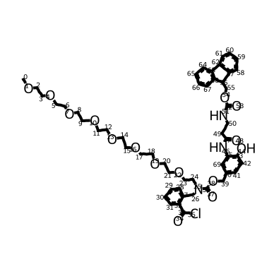 COCCOCCOCCOCCOCCOCCOCCOCCN(Cc1ccccc1C(=O)Cl)C(=O)OCc1ccc(O)c(NC(=O)CCNC(=O)OCC2c3ccccc3-c3ccccc32)c1